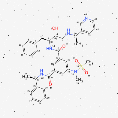 C[C@@H](NC[C@@H](O)[C@H](Cc1ccccc1)NC(=O)c1cc(C(=O)N[C@H](C)c2ccccc2)cc(N(C)S(C)(=O)=O)c1)c1cccnc1